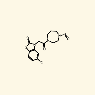 O=NN1CCCN(C(=O)Cn2c(=O)sc3ccc(Cl)cc32)CC1